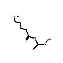 CCCCOC(C)OC(=O)CCCCC(=O)O